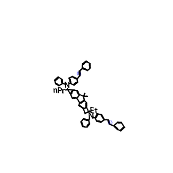 CCCC1(N(c2ccccc2)c2ccc(/C=C/c3ccccc3)cc2)c2cc3c(cc21)C(C)(C)c1cc2c(cc1-3)CC2(CC)N(c1ccccc1)c1ccc(/C=C/c2ccccc2)cc1